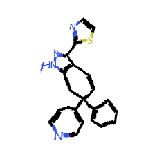 C1=CC(c2ccccc2)(c2ccncc2)Cc2[nH]nc(-c3nccs3)c21